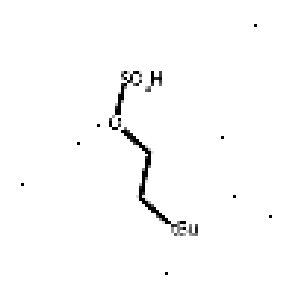 CC(C)(C)CCOS(=O)(=O)O